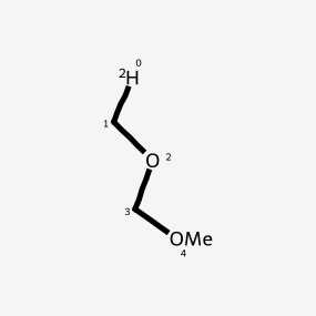 [2H]COCOC